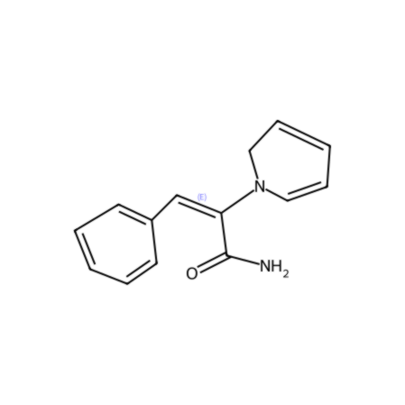 NC(=O)/C(=C\c1ccccc1)N1C=CC=CC1